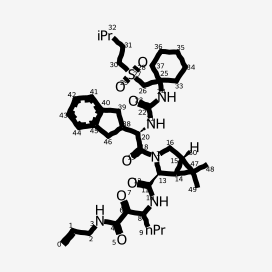 C=CCNC(=O)C(=O)C(CCC)NC(=O)[C@@H]1C2[C@H](CN1C(=O)[C@@H](NC(=O)NC1(CS(=O)(=O)CCC(C)C)CCCCC1)C1Cc3ccccc3C1)C2(C)C